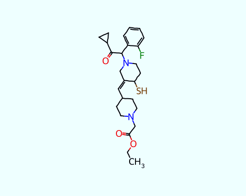 CCOC(=O)CN1CCC(/C=C2/CN(C(C(=O)C3CC3)c3ccccc3F)CCC2S)CC1